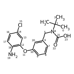 CC(C)(C)N(Cc1cccc(Oc2cc(Cl)ccc2N)c1)C(=O)O